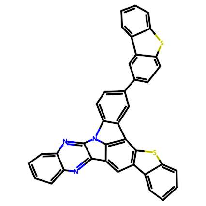 c1ccc2nc3c(nc2c1)c1cc2c4ccccc4sc2c2c4cc(-c5ccc6sc7ccccc7c6c5)ccc4n3c12